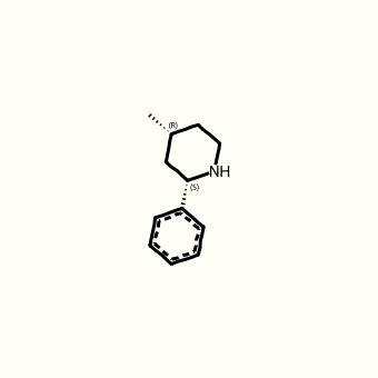 C[C@@H]1CCN[C@H](c2ccccc2)C1